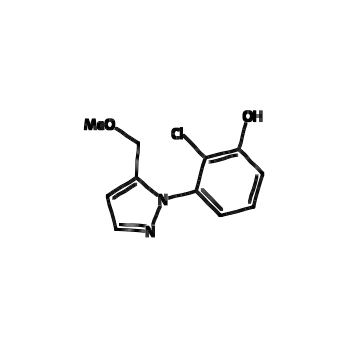 COCc1ccnn1-c1cccc(O)c1Cl